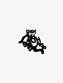 CC1=CC(=O)NS(=O)(=O)O1.CC1=CC(=O)NSO1.[KH]